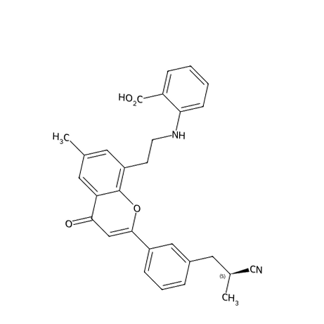 Cc1cc(CCNc2ccccc2C(=O)O)c2oc(-c3cccc(C[C@H](C)C#N)c3)cc(=O)c2c1